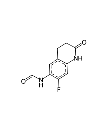 O=CNc1cc2c(cc1F)NC(=O)CC2